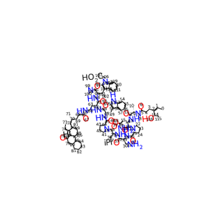 CC=C(CCC(=O)N(C)[C@@H](C)C(=O)N[C@@H](CC(N)=O)C(=O)N1CCCC1C(=O)N[C@@H](CN)C(=O)N[C@@H](CC(C)C)C(=O)N1CCCC1C(=O)N[C@@H](Cc1c[nH]c2ccccc12)C(=O)N[C@@H](CCNC(=O)CC[C@@H](C)[C@H]1CCC2[C@@H]3C(=O)CC4CCCC[C@]4(C)C3CC[C@@]21C)C(=O)N[C@H](C(=O)N(C)C)[C@H](C)c1cn(CC(=O)O)c2ccccc12)[C@@H](C)O